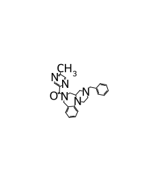 Cc1cnc(C(=O)N2Cc3ccccc3N3CCN(Cc4ccccc4)CC3C2)cn1